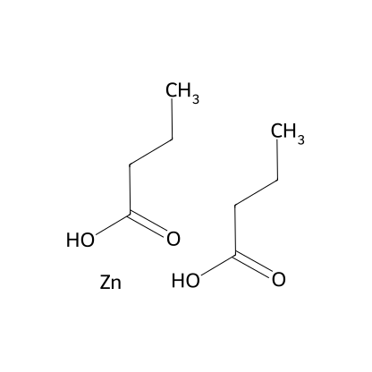 CCCC(=O)O.CCCC(=O)O.[Zn]